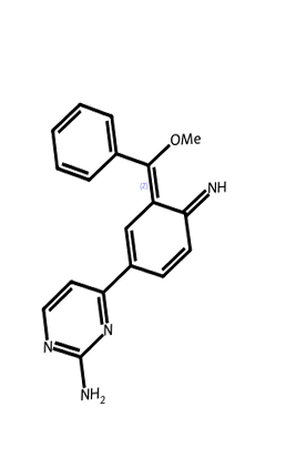 CO/C(=C1/C=C(c2ccnc(N)n2)C=CC1=N)c1ccccc1